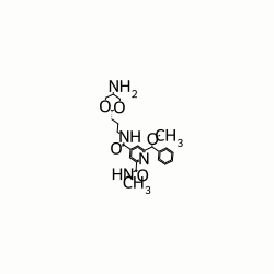 CNC(=O)c1cc(C(=O)NCCC[C@H]2OC[C@H](N)CO2)cc(C(OC)c2ccccc2)n1